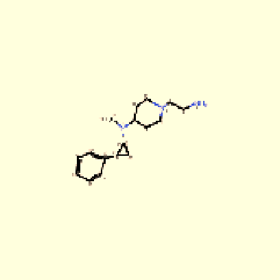 NCCN1CCC(N(C(=O)O)[C@@H]2C[C@H]2c2ccccc2)CC1